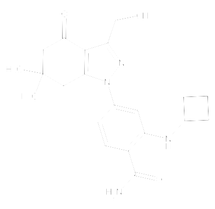 CCc1nn(-c2ccc(C(N)=O)c(NC3CCC3)c2)c2c1C(=O)CC(C)(C)C2